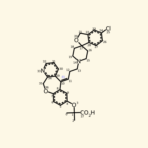 CC(C)(Oc1ccc2c(c1)/C(=C/CCN1CCC3(CC1)OCc1cc(Cl)ccc13)c1cccnc1CO2)C(=O)O